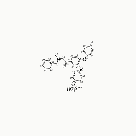 CS(=O)(=O)O.Cc1ccc(Oc2ccc(C(=O)CN(C)Cc3ccccc3)cc2Oc2ccc(C)cc2)cc1